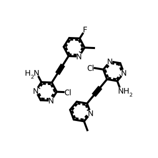 Cc1cccc(C#Cc2c(N)ncnc2Cl)n1.Cc1nc(C#Cc2c(N)ncnc2Cl)ccc1F